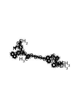 C=CC(=O)N1CCN(c2nc(OC[C@@H]3C[C@@H](OCCOCCOCCOc4ccc(-c5csc([C@@H]6CCCN6C(=O)C(NC(=O)[C@H](C)NC)C6CCCCC6)n5)c5ccccc45)CN3C)nc3c2CCN(c2cccc4ccccc24)C3)C[C@@H]1CC#N